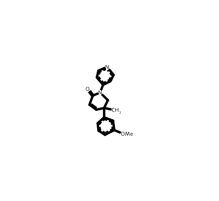 COc1cccc(C2(C)C=CC(=O)N(c3ccncc3)C2)c1